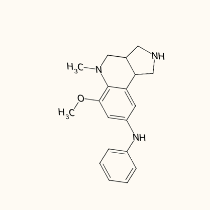 COc1cc(Nc2ccccc2)cc2c1N(C)CC1CNCC21